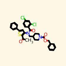 CC(=O)c1sc(-c2ccccc2)cc1N(CC1CCN(C(=O)OCc2ccccc2)CC1)C(=O)c1ccc(Cl)cc1Cl